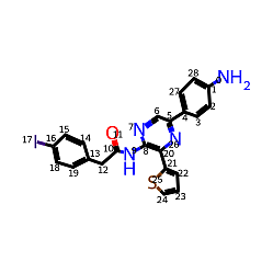 Nc1ccc(-c2cnc(NC(=O)Cc3ccc(I)cc3)c(-c3cccs3)n2)cc1